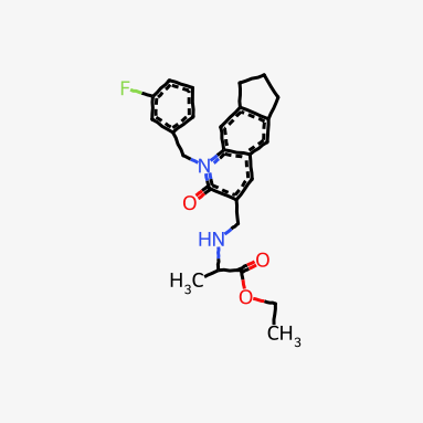 CCOC(=O)C(C)NCc1cc2cc3c(cc2n(Cc2cccc(F)c2)c1=O)CCC3